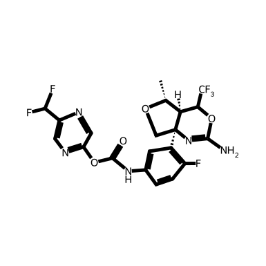 C[C@H]1OC[C@]2(c3cc(NC(=O)Oc4cnc(C(F)F)cn4)ccc3F)N=C(N)OC(C(F)(F)F)[C@H]12